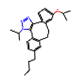 CCCCc1ccc2c(c1)CCc1cc(OC(C)C)ccc1-c1nnn(C(C)C)c1-2